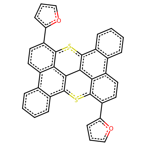 c1coc(-c2ccc3c4ccccc4c4sc5c(-c6ccco6)ccc6c7ccccc7c7sc2c3c4-c7c56)c1